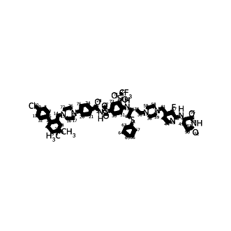 CC1(C)CCC(c2ccc(Cl)cc2)=C(CN2CCN(c3ccc(C(=O)NS(=O)(=O)c4ccc(N[C@H](CCN5CCN(Cc6ccnc(NC7CCC(=O)NC7=O)c6F)CC5)CSc5ccccc5)c(S(=O)(=O)C(F)(F)F)c4)cc3)CC2)C1